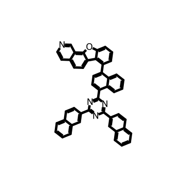 c1ccc2cc(-c3nc(-c4ccc5ccccc5c4)nc(-c4ccc(-c5cccc6oc7c8cnccc8ccc7c56)c5ccccc45)n3)ccc2c1